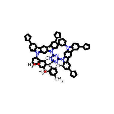 Cc1cc(C)c(B(c2nc(-n3c4ccc(C5C=CC=C5)cc4c4cc5c6cc(C7C=CC=C7)ccc6n(-c6ccccc6)c5cc43)nc(-n3c4ccc(C5C=CC=C5)cc4c4cc5c6cc(C7C=CC=C7)ccc6n(-c6ccccc6)c5cc43)n2)c2c(C)cc(C)cc2C)c(C)c1